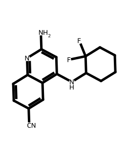 N#Cc1ccc2nc(N)cc(NC3CCCCC3(F)F)c2c1